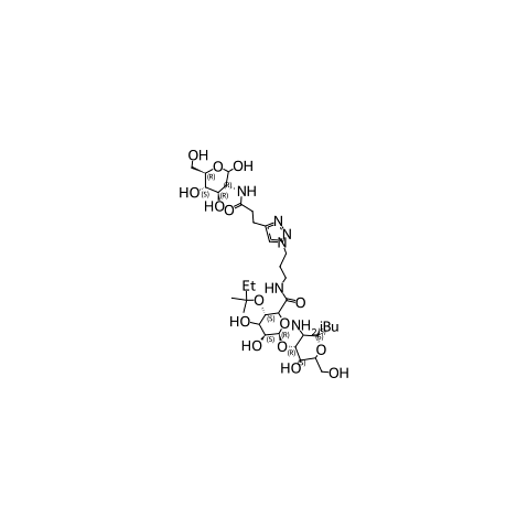 CC[C@H](C)[C@@H]1OC(CO)[C@@H](O)[C@H](O[C@@H]2OC(C(=O)NCCCn3cc(CCC(=O)N[C@H]4C(O)O[C@H](CO)[C@@H](O)[C@@H]4O)nn3)[C@@H](OC(C)(C)CC)C(O)[C@@H]2O)C1N